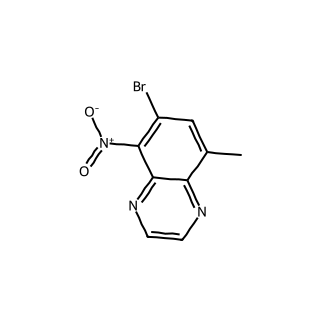 Cc1cc(Br)c([N+](=O)[O-])c2nccnc12